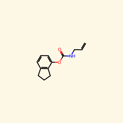 C=CCNC(=O)Oc1cccc2c1CCC2